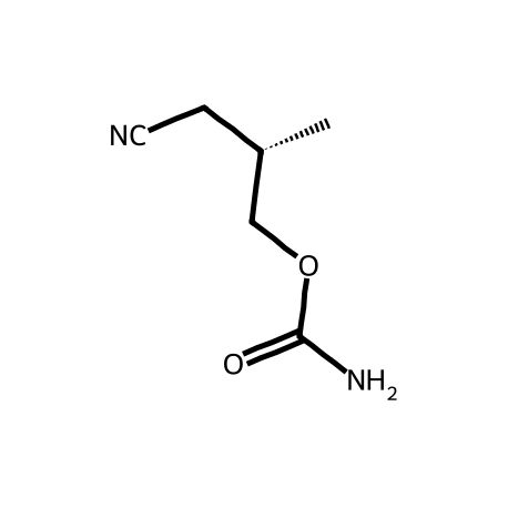 C[C@@H](CC#N)COC(N)=O